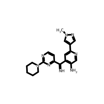 Cn1cc(-c2cc(C(=N)c3ccnc(N4CCCCC4)n3)c(N)cn2)cn1